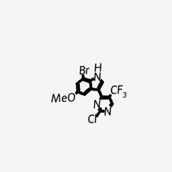 COc1cc(Br)c2[nH]cc(-c3nc(Cl)ncc3C(F)(F)F)c2c1